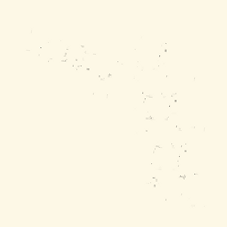 COC1[C@H](O[C@@H]2C(O)[C@H](O[C@@H]3C(O)[C@H](OC4[C@H](O)OC(C)[C@H](O)[C@@H]4O)OC(C)[C@@H]3O)OC(C)[C@@H]2O)OC(C)[C@@H](NC(=O)CC(C)(C)O)[C@@H]1O